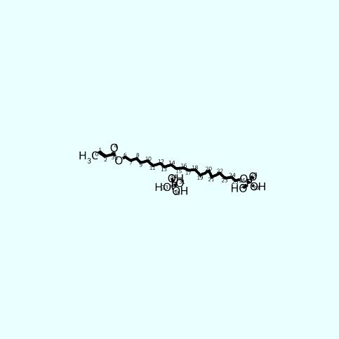 CC=CC(=O)OCCCCCCCCCCCCCCCCCCCCOP(=O)(O)O.O=P(O)(O)O